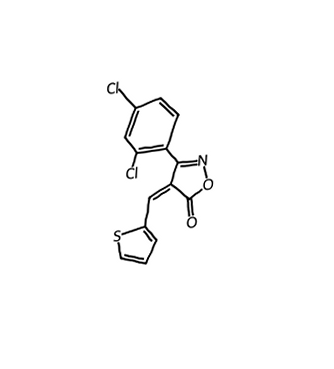 O=C1ON=C(c2ccc(Cl)cc2Cl)C1=Cc1cccs1